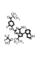 CC(C)c1cc(-c2cccc3[nH]ncc23)c2c(N)nc(Nc3ccc(C(=O)N(C)C)cc3F)nn12.O=C(O)C(F)(F)F